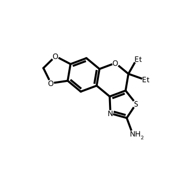 CCC1(CC)Oc2cc3c(cc2-c2nc(N)sc21)OCO3